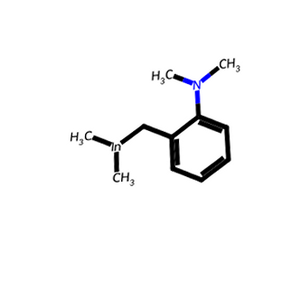 CN(C)c1ccccc1[CH2][In]([CH3])[CH3]